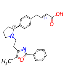 Cc1oc(-c2ccccc2)nc1CCN1CCC[C@H]1c1ccc(C/C=C/C(=O)O)cc1